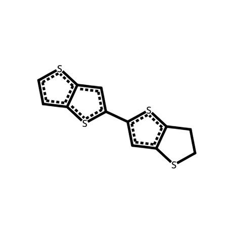 c1cc2sc(-c3cc4c(s3)CCS4)cc2s1